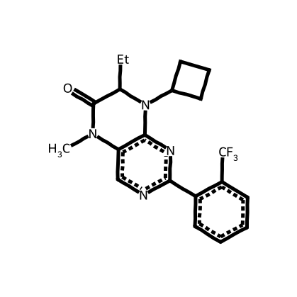 CCC1C(=O)N(C)c2cnc(-c3ccccc3C(F)(F)F)nc2N1C1CCC1